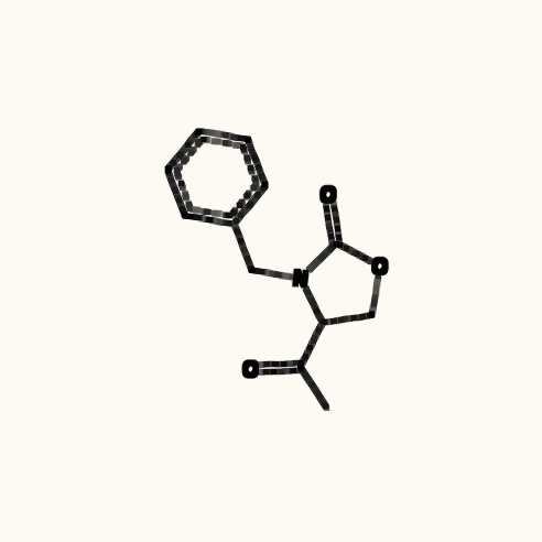 CC(=O)C1COC(=O)N1Cc1ccccc1